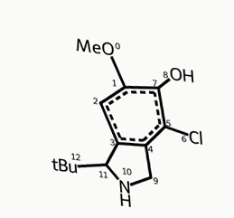 COc1cc2c(c(Cl)c1O)CNC2C(C)(C)C